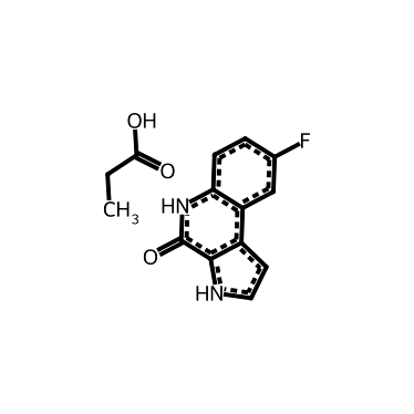 CCC(=O)O.O=c1[nH]c2ccc(F)cc2c2cc[nH]c12